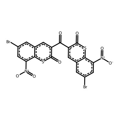 O=C(c1cc2cc(Br)cc([N+](=O)[O-])c2sc1=O)c1cc2cc(Br)cc([N+](=O)[O-])c2sc1=O